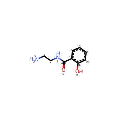 NCCNC(=O)c1ccccc1O